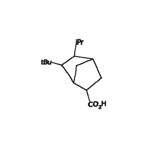 CC(C)C1C2CC(C(=O)O)C(C2)C1C(C)(C)C